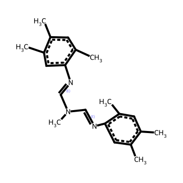 Cc1cc(C)c(/N=C/N(C)/C=N/c2cc(C)c(C)cc2C)cc1C